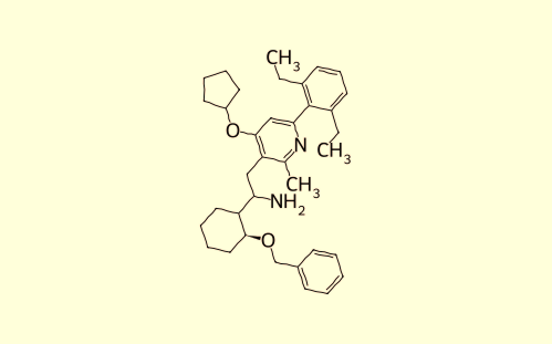 CCc1cccc(CC)c1-c1cc(OC2CCCC2)c(CC(N)C2CCCC[C@@H]2OCc2ccccc2)c(C)n1